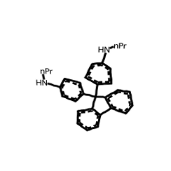 CCCNc1ccc(C2(c3ccc(NCCC)cc3)c3ccccc3-c3ccccc32)cc1